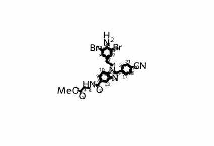 COC(=O)CCNC(=O)c1ccc2c(c1)nc(-c1ccc(C#N)cc1)n2CCc1cc(Br)c(N)c(Br)c1